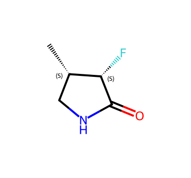 C[C@H]1CNC(=O)[C@H]1F